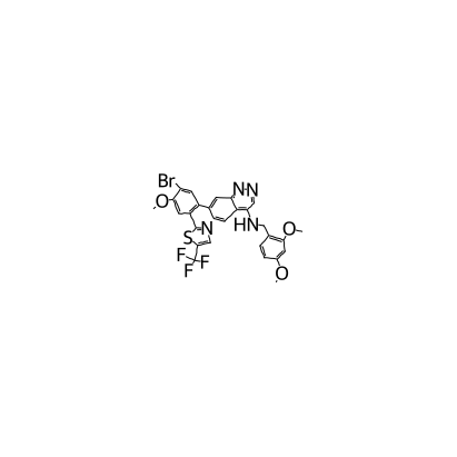 COc1ccc(CNc2cnnc3cc(-c4cc(Br)c(OC)cc4-c4ncc(C(F)(F)F)s4)ccc23)c(OC)c1